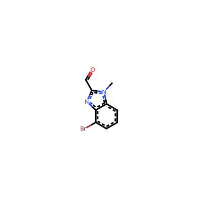 Cn1c(C=O)nc2c(Br)cccc21